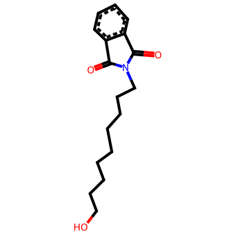 O=C1c2ccccc2C(=O)N1CCCCCCCCCO